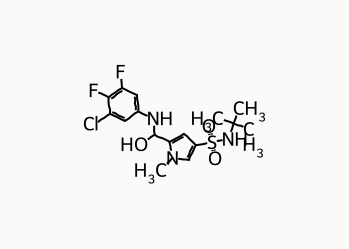 Cn1cc(S(=O)(=O)NC(C)(C)C)cc1C(O)Nc1cc(F)c(F)c(Cl)c1